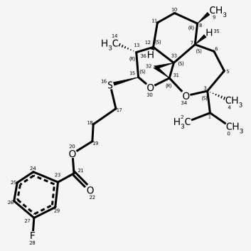 CC(C)[C@]1(C)CC[C@H]2[C@H](C)CC[C@H]3[C@@H](C)[C@H](SCCCOC(=O)c4cccc(F)c4)O[C@@]4(C[C@@]324)O1